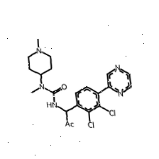 CC(=O)C(NC(=O)N(C)C1CCN(C)CC1)c1ccc(-c2cnccn2)c(Cl)c1Cl